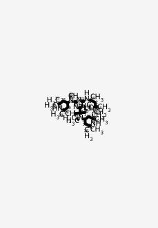 CCC(CC)(c1nc(NC(C)(C)CC(C)(C)C)nc(N(C)C2CC(C)(C)NC(C)(C)C2)n1)N(C)C1CC(C)(C)NC(C)(C)C1